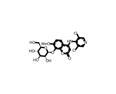 COc1ccc2c(Nc3c(Cl)cncc3Cl)cc(=O)oc2c1O[C@@H]1O[C@H](CO)[C@@H](O)[C@H](O)[C@H]1O